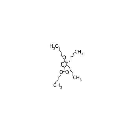 CCCCCOC(=O)c1ccc(OCCCCC)c(CCCCC)c1CCCCC